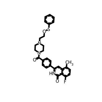 Cc1ccc(F)c2c(=O)[nH]c(-c3ccc(C(=O)N4CCN(CCOSc5ccccc5)CC4)cc3)cc12